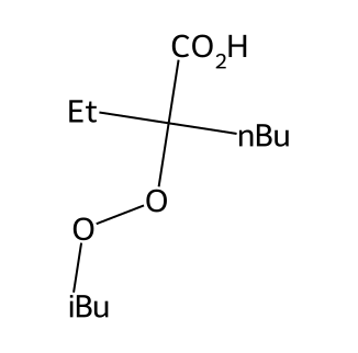 CCCCC(CC)(OOC(C)CC)C(=O)O